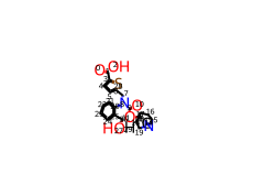 O=C(O)c1ccc(CN(C(=O)O[C@H]2CN3CCC2CC3)c2ccccc2CO)s1